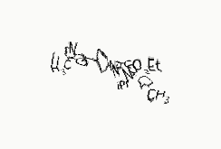 CCOC(=O)c1cn(-c2ccc(-c3cc4nccc(C)c4o3)cc2)nc1N(C(=O)[C@H]1CC[C@H](C)CC1)C(C)C